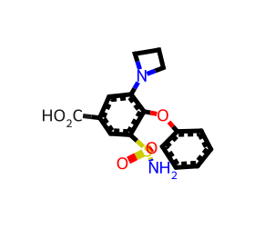 NS(=O)(=O)c1cc(C(=O)O)cc(N2CCC2)c1Oc1ccccc1